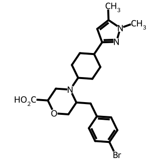 Cc1cc(C2CCC(N3CC(C(=O)O)OCC3Cc3ccc(Br)cc3)CC2)nn1C